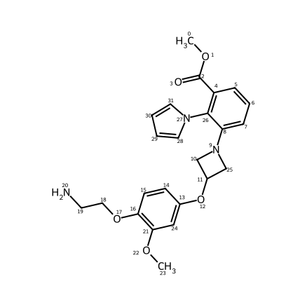 COC(=O)c1cccc(N2CC(Oc3ccc(OCCN)c(OC)c3)C2)c1-n1cccc1